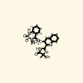 CC(C)C1(C)N=C(c2nc3ccccc3cc2C(=O)O)NC1=O.CC(C)N1C(=O)c2ccccc2NS1(=O)=O